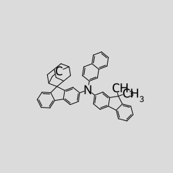 CC1(C)c2ccccc2-c2ccc(N(c3ccc4c(c3)C3(c5ccccc5-4)C4CCC5CC(C4)CC3C5)c3ccc4ccccc4c3)cc21